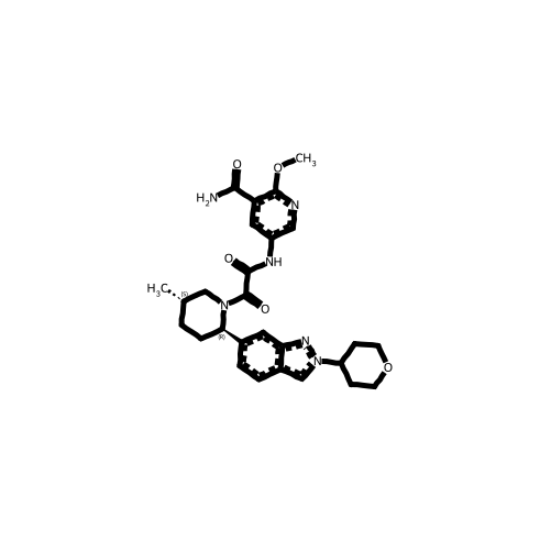 COc1ncc(NC(=O)C(=O)N2C[C@@H](C)CC[C@@H]2c2ccc3cn(C4CCOCC4)nc3c2)cc1C(N)=O